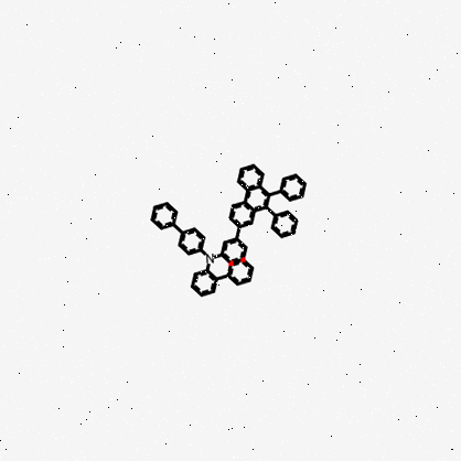 c1ccc(-c2ccc(N(c3cccc(-c4ccc5c(c4)c(-c4ccccc4)c(-c4ccccc4)c4ccccc45)c3)c3ccccc3-c3ccccc3)cc2)cc1